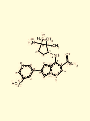 CC1(C)[C@H](Nc2c(C(N)=O)cnn3cc(-c4cncc(C(=O)O)c4)cc23)CC[C@]1(C)N